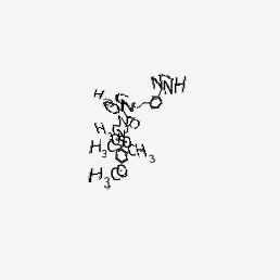 COc1cc(C)c(S(=O)(=O)N(C)Cc2nc(C(=O)N(C)CCc3cccc(C4=NCCN4)c3)co2)c(C)c1